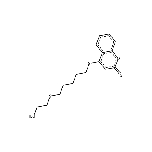 CCC(C)CCSCCCCCSc1cc(=S)oc2ccccc12